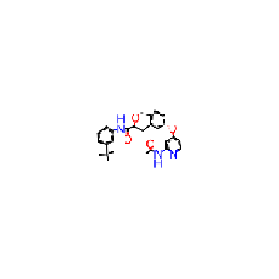 CC(=O)Nc1cc(Oc2ccc3c(c2)CC(C(=O)Nc2cccc(C(C)(C)C)c2)OC3)ccn1